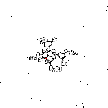 CCCCOc1cc(CC)cc([SiH](O[SiH](c2cc(CC)cc(OCCCC)c2)c2cc(CC)cc(OCCCC)c2)c2cc(CC)cc(OCCCC)c2)c1